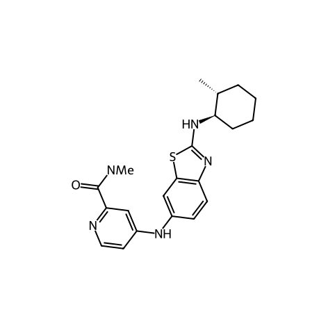 CNC(=O)c1cc(Nc2ccc3nc(N[C@@H]4CCCC[C@H]4C)sc3c2)ccn1